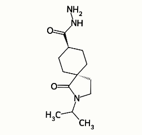 CC(C)N1CC[C@]2(CC[C@H](C(=O)NN)CC2)C1=O